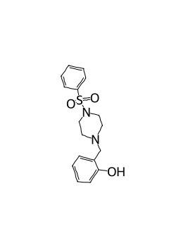 O=S(=O)(c1ccccc1)N1CCN(Cc2ccccc2O)CC1